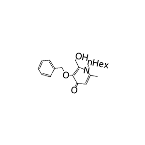 CCCCCCn1c(C)cc(=O)c(OCc2ccccc2)c1CO